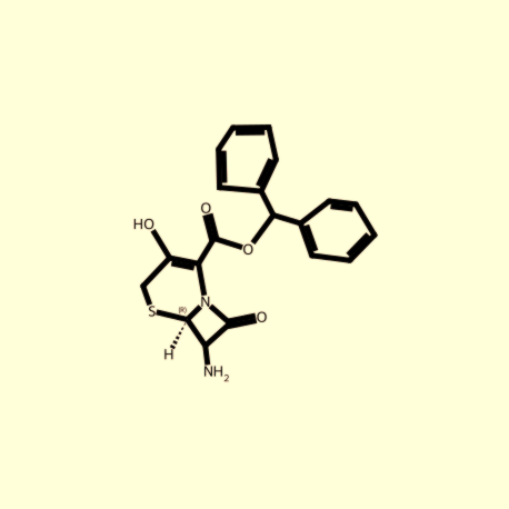 NC1C(=O)N2C(C(=O)OC(c3ccccc3)c3ccccc3)=C(O)CS[C@H]12